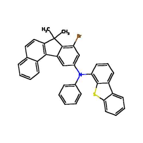 CC1(C)c2ccc3ccccc3c2-c2cc(N(c3ccccc3)c3cccc4c3sc3ccccc34)cc(Br)c21